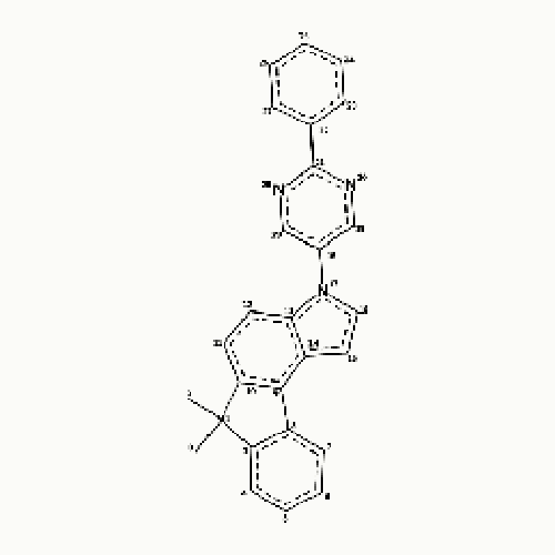 CC1(C)c2ccccc2-c2c1ccc1c2ccn1-c1cnc(-c2ccccc2)nc1